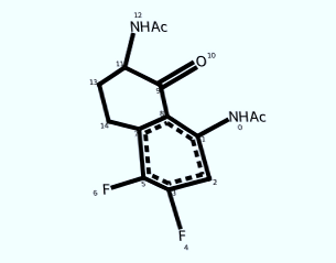 CC(=O)Nc1cc(F)c(F)c2c1C(=O)C(NC(C)=O)CC2